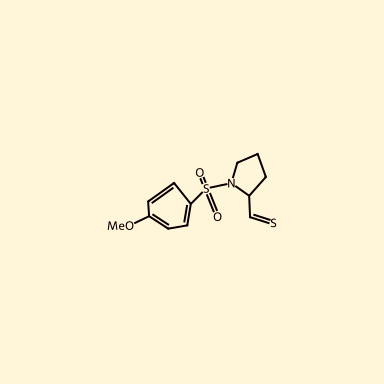 COc1ccc(S(=O)(=O)N2CCCC2C=S)cc1